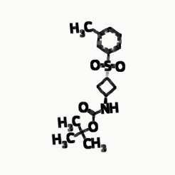 Cc1cccc(S(=O)(=O)[C@H]2C[C@H](NC(=O)OC(C)(C)C)C2)c1